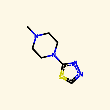 CN1CCN(c2nncs2)CC1